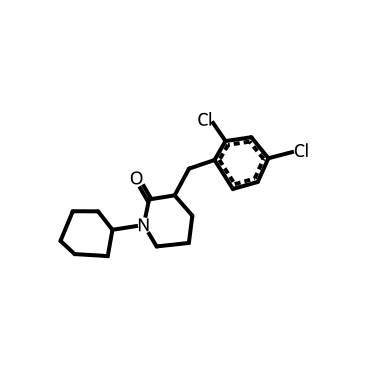 O=C1C(Cc2ccc(Cl)cc2Cl)CCCN1C1CCCCC1